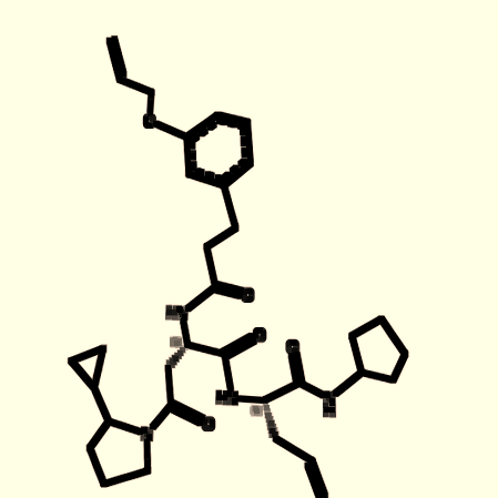 C=CCOc1cccc(CCC(=O)N[C@@H](CC(=O)N2CCCC2C2CC2)C(=O)N[C@@H](CC=C)C(=O)NC2CCCC2)c1